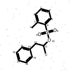 Cc1ccccc1S(=O)(=O)OC(C)Cc1ccccc1